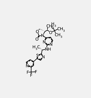 C[C@H](Nc1nccc(N2C(=O)OC[C@@H]2[C@@H](C)OC(C)(C)C)n1)c1ncc(-c2ccnc(C(F)(F)F)c2)s1